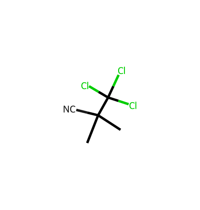 CC(C)(C#N)C(Cl)(Cl)Cl